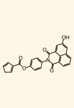 O=C(Oc1ccc(N2C(=O)c3cccc4cc(O)cc(c34)C2=O)cc1)C1=CCC=C1